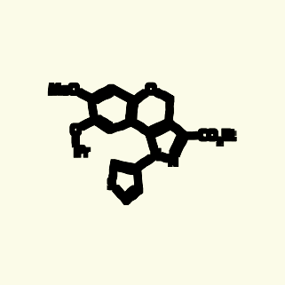 CCOC(=O)c1nn(-c2ccsc2)c2c1COc1cc(OC)c(OC(C)C)cc1-2